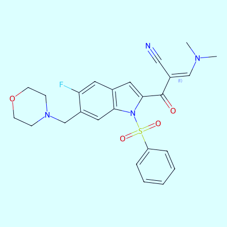 CN(C)/C=C(\C#N)C(=O)c1cc2cc(F)c(CN3CCOCC3)cc2n1S(=O)(=O)c1ccccc1